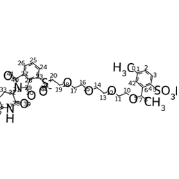 Cc1ccc(S(=O)(=O)O)c(C(C)OCCOCCOCCOCC[S+]([O-])c2cccc3c2C(=O)N(C2CCC(=O)NC2=O)C3=O)c1